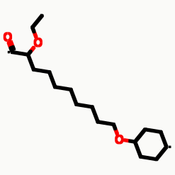 CCOC([C]=O)CCCCCCCCOC1CC[CH]CC1